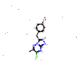 Cc1nn2c(Cc3ccc(O)cc3)nnc2nc1Cl